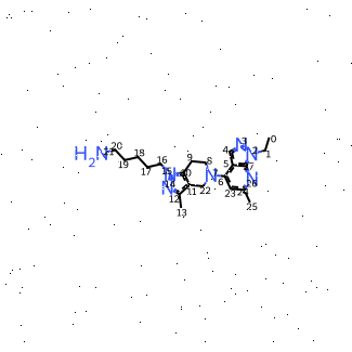 CCn1ncc2c(N3CCc4c(c(C)nn4CCCCCN)C3)cc(C)nc21